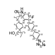 CC(C)(C(=O)O)c1ccc(C2CC23C(=O)Nc2cc(F)c(-c4ccc(-c5ccc(-n6cncn6)cc5)cc4)cc23)cc1